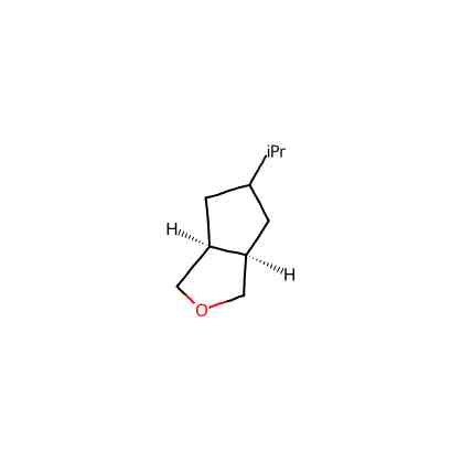 CC(C)C1C[C@H]2COC[C@H]2C1